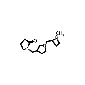 CN1CCC1CN1CCC(CN2CCCC2=O)C1